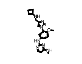 CNc1ccnc(Nc2ccc(OC)c(-n3cc(CNC4CCC4)nn3)c2)n1